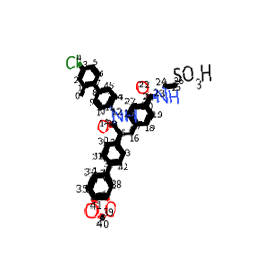 Cc1cc(Cl)ccc1-c1ccc(NC(=O)[C@@H](Cc2ccc(C(=O)NCCS(=O)(=O)O)cc2)c2ccc(-c3ccc4c(c3)OCO4)cc2)cc1